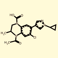 CC(=O)N1c2cc(Cl)c(-c3cnn(C4CC4)c3)cc2N(C(=O)O)CC1C